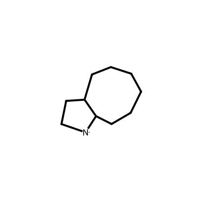 C1CCCC2[N]CCC2CC1